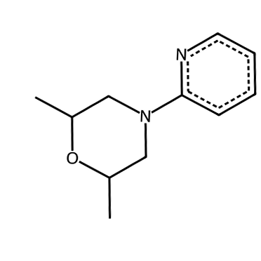 CC1CN(c2ccccn2)CC(C)O1